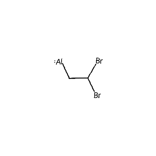 [Al][CH2]C(Br)Br